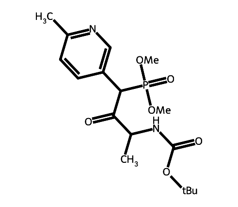 COP(=O)(OC)C(C(=O)C(C)NC(=O)OC(C)(C)C)c1ccc(C)nc1